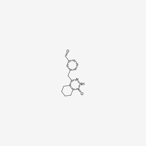 O=Cc1cccc(Cc2n[nH]c(=O)c3c2CCCC3)c1